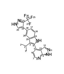 CC(C)c1c(-c2ccnc3[nH]ncc23)[nH]c2ccc(-c3c[nH]nc3C(F)(F)F)cc12